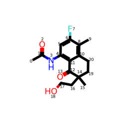 CC(=O)Nc1cc(F)c(C)c2c1C(=O)C(C)(CCO)CC2